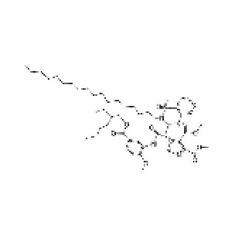 CCCCCCCCCCCCCCCCCCN1C(C(C(=O)Nc2cc(C(=O)OCC(CC)CCCC)ccc2OC)n2cnc(C(=O)OC)c2C(=O)OC)=Nc2ccccc2S1(=O)=O